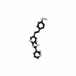 COc1ccc(C=Cc2cnc3oc(-c4cccnc4)nc3c2)cc1